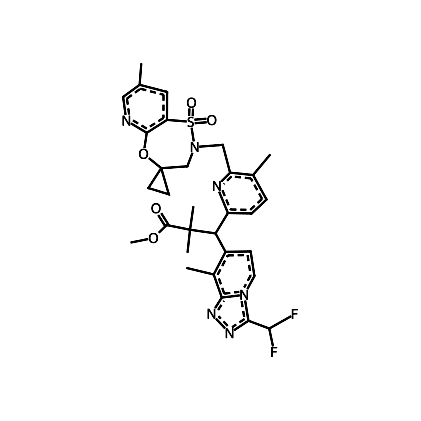 COC(=O)C(C)(C)C(c1ccc(C)c(CN2CC3(CC3)Oc3ncc(C)cc3S2(=O)=O)n1)c1ccn2c(C(F)F)nnc2c1C